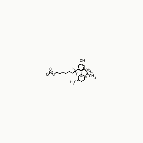 C=C(C)[C@H]1CCC(C)=C[C@@H]1c1c(O)cc(O)cc1C(F)(F)CCCCCCO[N+](=O)[O-]